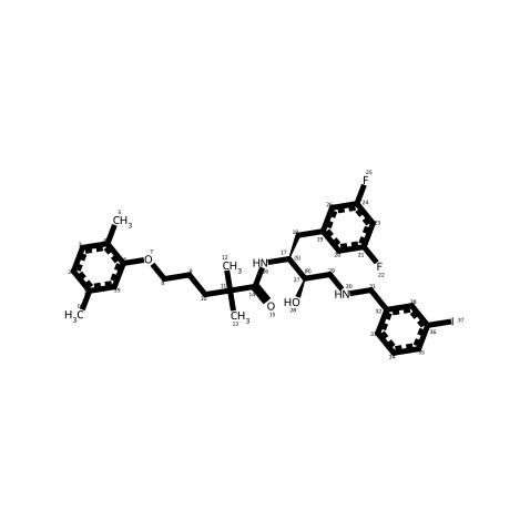 Cc1ccc(C)c(OCCCC(C)(C)C(=O)N[C@@H](Cc2cc(F)cc(F)c2)[C@H](O)CNCc2cccc(I)c2)c1